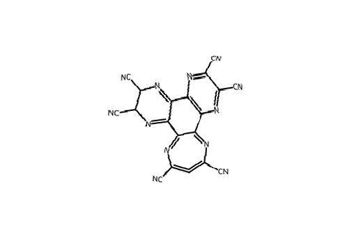 N#CC1=C=C(C#N)N=c2c(c3c(c4nc(C#N)c(C#N)nc24)=NC(C#N)C(C#N)N=3)=N1